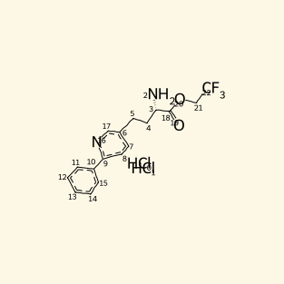 Cl.Cl.N[C@@H](CCc1ccc(-c2ccccc2)nc1)C(=O)OCC(F)(F)F